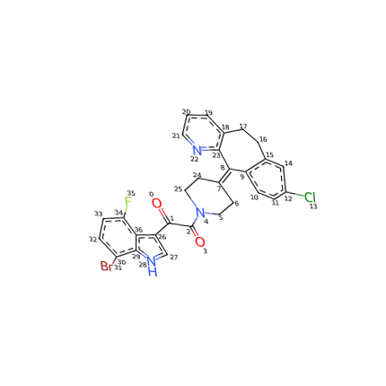 O=C(C(=O)N1CCC(=C2c3ccc(Cl)cc3CCc3cccnc32)CC1)c1c[nH]c2c(Br)ccc(F)c12